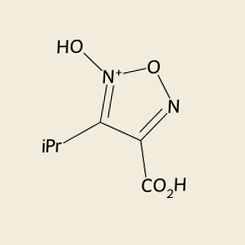 CC(C)c1c(C(=O)O)no[n+]1O